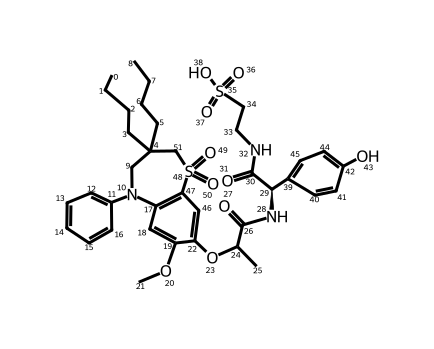 CCCCC1(CCCC)CN(c2ccccc2)c2cc(OC)c(OC(C)C(=O)N[C@@H](C(=O)NCCS(=O)(=O)O)c3ccc(O)cc3)cc2S(=O)(=O)C1